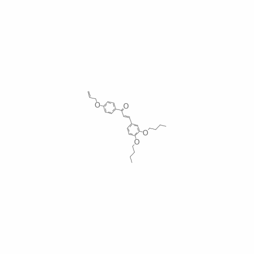 C=CCOc1ccc(C(=O)C=Cc2ccc(OCCCC)c(OCCCC)c2)cc1